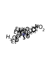 CCOC(C)OCC/C([S-])=C(/C(=O)OCc1ccc([N+](=O)[O-])cc1)N1C(=O)CC1[N+](CC)(CC)CC